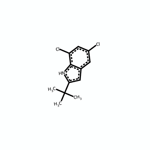 CC(C)(C)c1cc2cc(Cl)cc(Cl)c2[nH]1